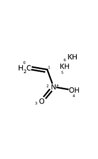 C=C[N+](=O)O.[KH].[KH]